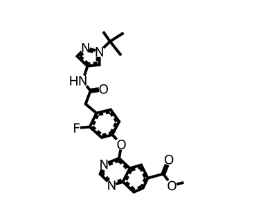 COC(=O)c1ccc2ncnc(Oc3ccc(CC(=O)Nc4cnn(C(C)(C)C)c4)c(F)c3)c2c1